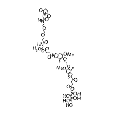 COc1cc2c(c(F)c1OCCCOc1c(OC)cc3sc(C(=O)CCC(=O)OC[C@@H](O)[C@@H](O)[C@H](O)[C@H](O)CO)cc3c1F)CN(C(=O)CCC(=O)O[C@@H](C)CNC(=O)CCOCCOCCNC(=O)CN1C(=O)C=CC1=O)C2